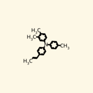 CC=Cc1ccc(N(c2ccc(C)cc2)c2ccc(C)c(C)c2)cc1